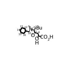 CC[C@H](C)[C@@H](C(=O)CC(O)C(=O)O)N(C)Cc1ccccc1